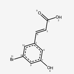 O=C(O)/C=C/c1cc(O)cc(Br)c1